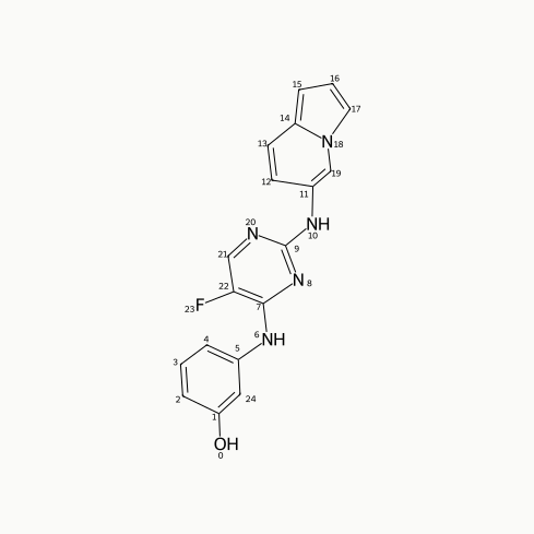 Oc1cccc(Nc2nc(Nc3ccc4cccn4c3)ncc2F)c1